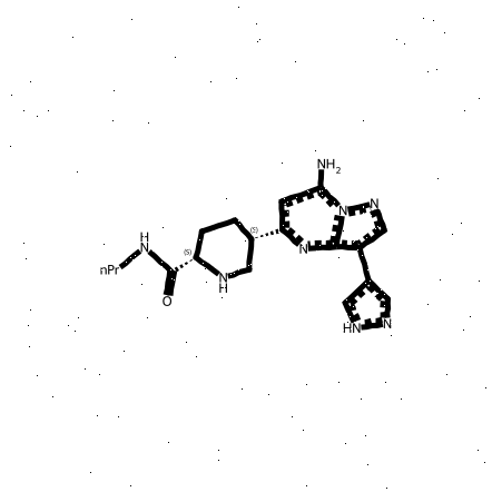 CCCNC(=O)[C@@H]1CC[C@H](c2cc(N)n3ncc(-c4cn[nH]c4)c3n2)CN1